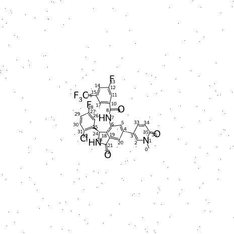 Cn1cc(-c2cc(NC(=O)c3cc(F)cc(C(F)(F)F)c3)c3c(c2)C(=O)N[C@H]3c2cc(F)ccc2Cl)ccc1=O